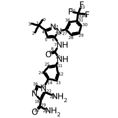 CC(C)(C)c1cc(NC(=O)Nc2ccc(-n3cnc(C(N)=O)c3N)cc2)n(-c2cccc(C(F)(F)F)c2)n1